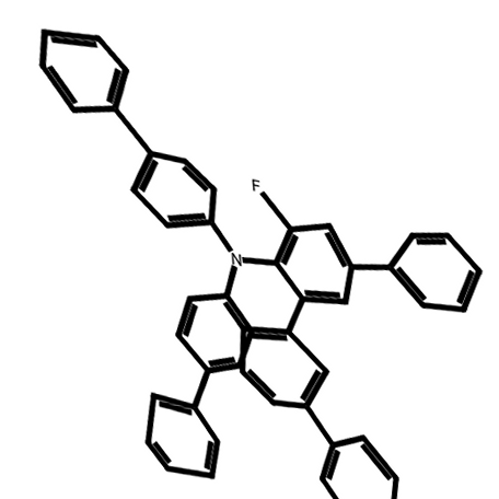 Fc1cc(-c2ccccc2)cc(-c2cccc(-c3ccccc3)c2)c1N(c1ccc(-c2ccccc2)cc1)c1ccc(-c2ccccc2)cc1